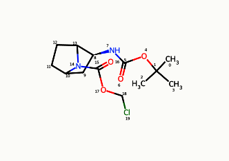 CC(C)(C)OC(=O)N[C@H]1CC2CCC1N2C(=O)OCCl